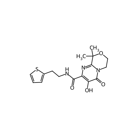 CC1(C)OCCn2c1nc(C(=O)NCCc1cccs1)c(O)c2=O